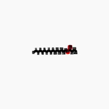 CCCCCCCCCCCCCCCCOC(=O)CCC